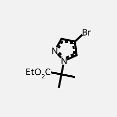 CCOC(=O)C(C)(C)n1cc(Br)cn1